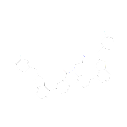 NC(=O)CN(C(=O)c1cccc(-c2cccc3sc(Cc4ccc(F)c(F)c4)cc23)c1)c1cccc(-c2cccc3sc(Cc4ccc(F)c(F)c4)cc23)c1